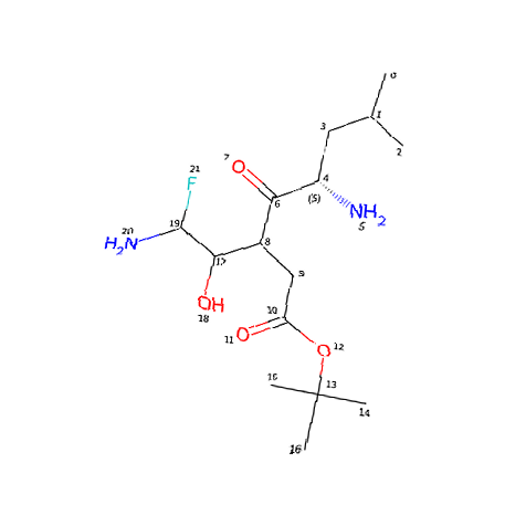 CC(C)C[C@H](N)C(=O)C(CC(=O)OC(C)(C)C)C(O)C(N)F